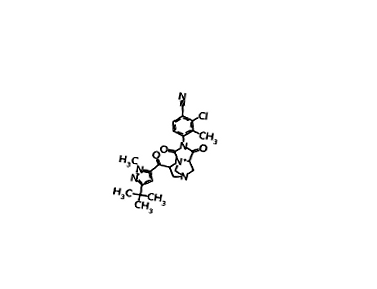 Cc1c(N2C(=O)C3CN4CC(C(=O)c5cc(C(C)(C)C)nn5C)[N+]3(C4)C2=O)ccc(C#N)c1Cl